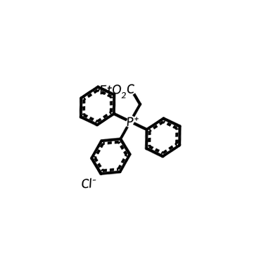 CCOC(=O)C[P+](c1ccccc1)(c1ccccc1)c1ccccc1.[Cl-]